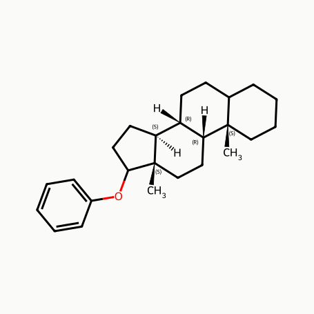 C[C@]12CCCCC1CC[C@@H]1[C@H]2CC[C@]2(C)C(Oc3ccccc3)CC[C@@H]12